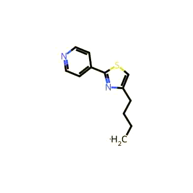 [CH2]CCCc1csc(-c2ccncc2)n1